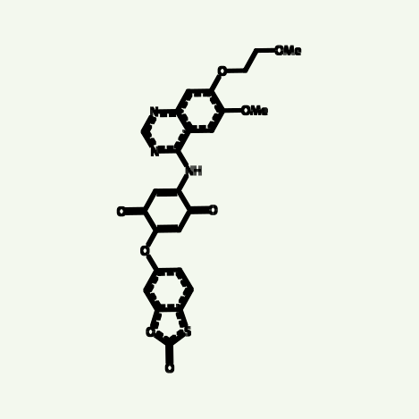 COCCOc1cc2ncnc(NC3=CC(=O)C(Oc4ccc5sc(=O)oc5c4)=CC3=O)c2cc1OC